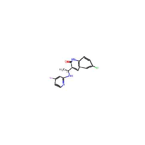 C[C@H](Nc1cc(I)ccn1)c1cc2cc(Cl)ccc2[nH]c1=O